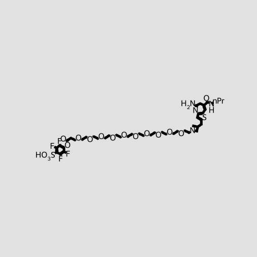 CCCNC(=O)C1=Cc2sc(CC3CN(CCOCCOCCOCCOCCOCCOCCOCCOCCOCCOCCC(=O)Oc4c(F)c(F)c(S(=O)(=O)O)c(F)c4F)C3)cc2N=C(N)C1